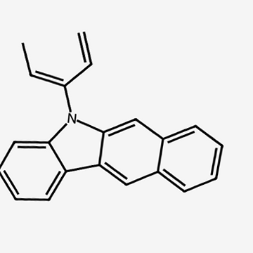 C=C/C(=C\C)n1c2ccccc2c2cc3ccccc3cc21